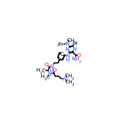 CCc1nc(C(N)=O)c(Nc2cccc(CCNC(=O)C(C)N(C)C(=O)CCCN(C)C)c2)nc1N(C)C(C)C